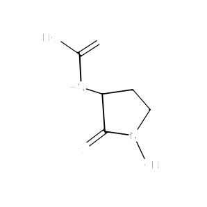 CN1CCC(NC(=O)O)C1=O